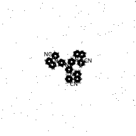 N#Cc1cccc(N(c2ccc(-n3c4ccc(N(c5cccc(C#N)c5)c5cccc6ccccc56)cc4c4cc(N(c5cccc(C#N)c5)c5cccc6ccccc56)ccc43)cc2)c2cccc3ccccc23)c1